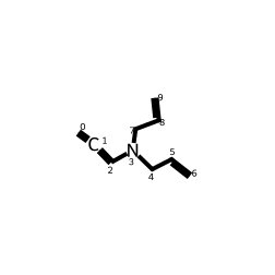 C=C=CN(CC=C)CC=C